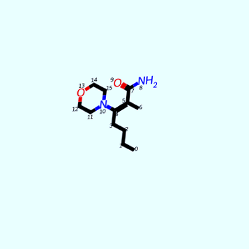 CCCCC(=C(C)C(N)=O)N1CCOCC1